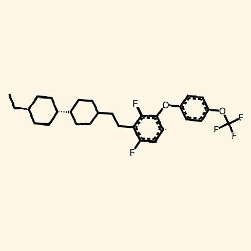 CC[C@H]1CC[C@H](C2CCC(CCc3c(F)c[c]c(Oc4ccc(OC(F)(F)F)cc4)c3F)CC2)CC1